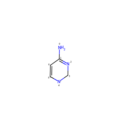 NC1=NC[N][C]=C1